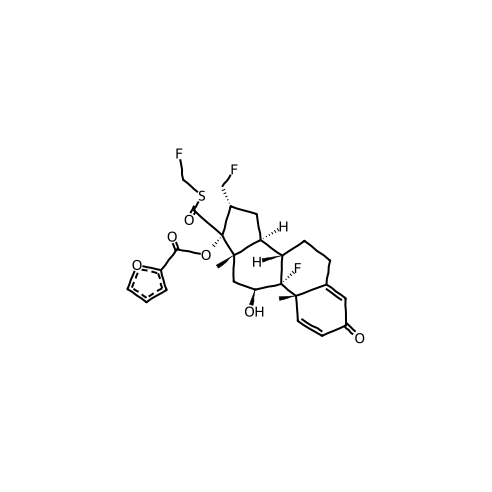 C[C@]12C=CC(=O)C=C1CC[C@H]1[C@@H]3C[C@@H](CF)[C@](OC(=O)c4ccco4)(C(=O)SCF)[C@@]3(C)C[C@H](O)[C@@]12F